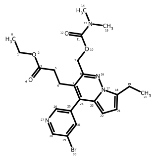 CCOC(=O)CCc1c(COC(=O)N(C)C)nn2c(CC)ccc2c1-c1cncc(Br)c1